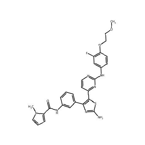 COCCOc1ccc(Nc2nccc(-c3sc(N)nc3-c3cccc(NC(=O)c4cccn4C)c3)n2)cc1F